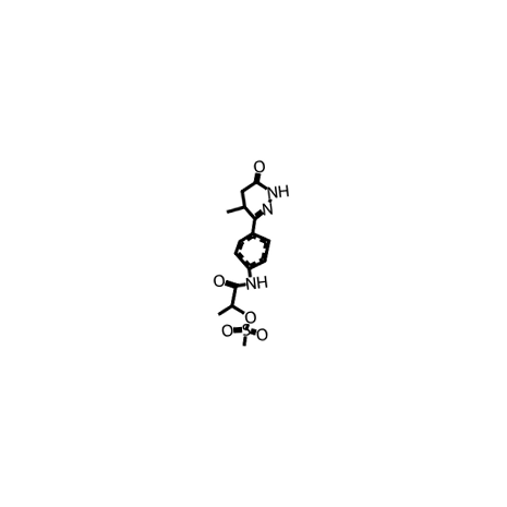 CC1CC(=O)NN=C1c1ccc(NC(=O)C(C)OS(C)(=O)=O)cc1